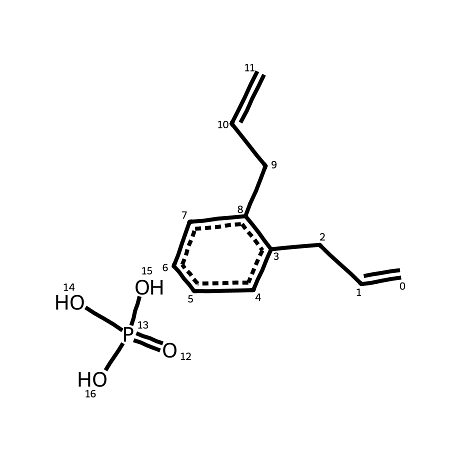 C=CCc1ccccc1CC=C.O=P(O)(O)O